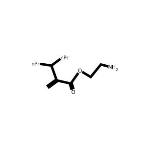 C=C(C(=O)OCCN)C(CCC)CCC